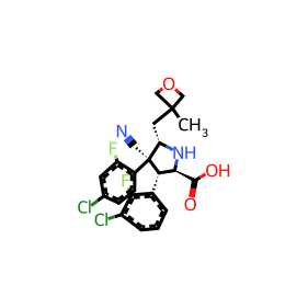 CC1(C[C@@H]2N[C@@H](C(=O)O)[C@H](c3cccc(Cl)c3F)[C@@]2(C#N)c2ccc(Cl)cc2F)COC1